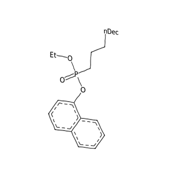 CCCCCCCCCCCCCP(=O)(OCC)Oc1cccc2ccccc12